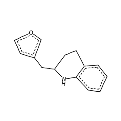 c1ccc2c(c1)CCC(Cc1ccoc1)N2